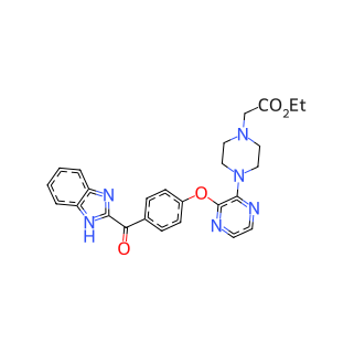 CCOC(=O)CN1CCN(c2nccnc2Oc2ccc(C(=O)c3nc4ccccc4[nH]3)cc2)CC1